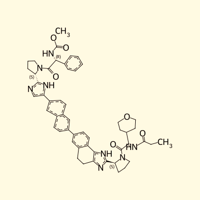 CCC(=O)N[C@H](C(=O)N1CCC[C@H]1c1nc2c([nH]1)-c1ccc(-c3ccc4cc(-c5cnc([C@@H]6CCCN6C(=O)[C@H](NC(=O)OC)c6ccccc6)[nH]5)ccc4c3)cc1CC2)C1CCOCC1